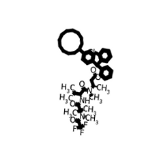 CC(C)[C@H](NC(=O)C(C)(C)N(C)C(=O)C(F)(F)F)C(=O)N(C)[C@H](C)CC(=O)OC(c1ccccc1)(c1ccc(C2CCCCCCCCCCC2)cc1)c1ccccc1Cl